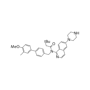 COc1ccc(-c2ccc(CN(C(=O)CC(C)(C)C)c3nccc4cc(N5CCNCC5)ccc34)cc2)cc1C